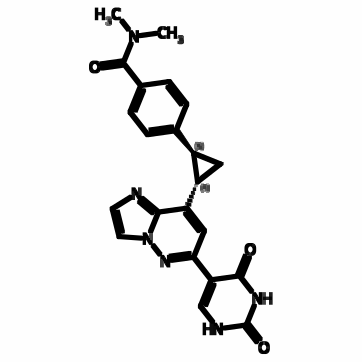 CN(C)C(=O)c1ccc([C@H]2C[C@@H]2c2cc(-c3c[nH]c(=O)[nH]c3=O)nn3ccnc23)cc1